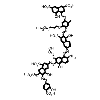 Cc1cc(N=Nc2c(S(=O)(=O)O)cc3cc(N=Nc4c(N)ccc5c(O)c(N=Nc6cc(S(=O)(=O)O)c7cc(SOOO)c(N=Nc8ccc(C(=O)O)c(O)c8)c(O)c7c6)c(SOOO)cc45)ccc3c2O)c(OCCCSOOO)cc1N=Nc1cc(S(=O)(=O)O)cc2cc(S(=O)(=O)O)cc(O)c12